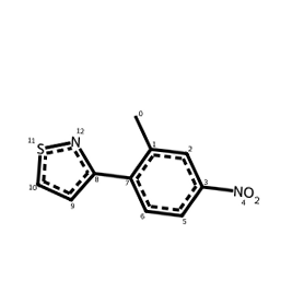 Cc1cc([N+](=O)[O-])ccc1-c1ccsn1